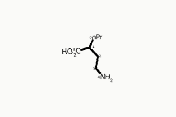 CCCC(CCN)C(=O)O